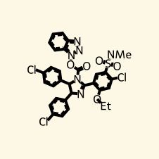 CCOc1cc(Cl)c(S(=O)(=O)NC)cc1C1=NC(c2ccc(Cl)cc2)C(c2ccc(Cl)cc2)N1C(=O)On1nnc2ccccc21